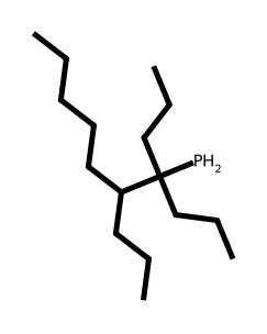 CCCCCC(CCC)C(P)(CCC)CCC